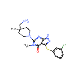 Cn1c(N2CCC(C)(CN)CC2)nc2[nH]nc(Sc3cccc(Cl)c3)c2c1=O